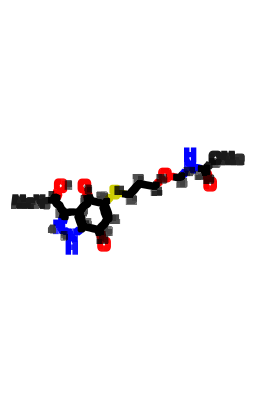 CNC(=O)c1n[nH]c2c1C(=O)C(SCCCOCNC(=O)OC)=CC2=O